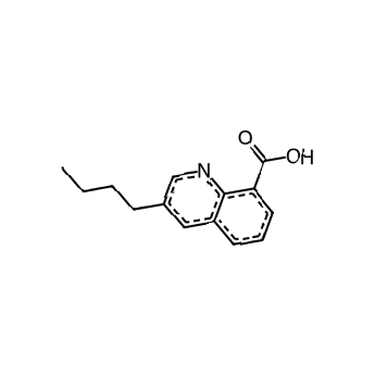 CCCCc1cnc2c(C(=O)O)cccc2c1